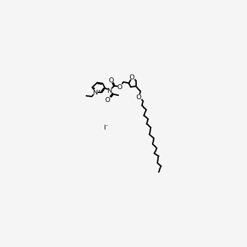 CCCCCCCCCCCCCCCCOCC1COC(COC(=O)N(C(C)=O)c2ccc[n+](CC)c2)C1.[I-]